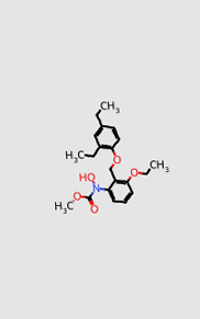 CCOc1cccc(N(O)C(=O)OC)c1COc1ccc(CC)cc1CC